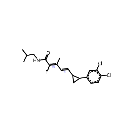 CC(/C=C/C1CC1c1ccc(Cl)c(Cl)c1)=C(/F)C(=O)NCC(C)C